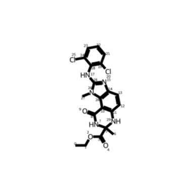 CCOC(=O)C1(C)NC(=O)c2c(ccc3nc(Nc4c(Cl)cccc4Cl)n(C)c23)N1